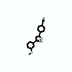 COc1cccc(-c2cc(-c3ccc(C#N)cc3)n[nH]2)c1